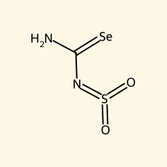 NC(=[Se])N=S(=O)=O